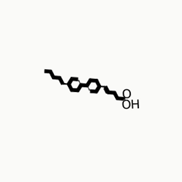 CCCCC[C@H]1CC[C@H]([C@H]2CC[C@H](C=CCCC(=O)O)CC2)CC1